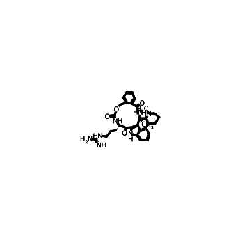 CN1CCCC2c3cccc4[nH]c5c(c34)C(C)(NC(=O)c3ccccc3COC(=O)N[C@@H](CCCNC(=N)N)C5=O)[C@H]21